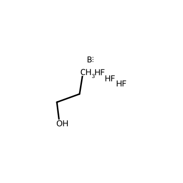 CCCO.F.F.F.[B]